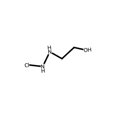 OCCNNCl